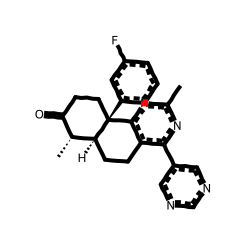 Cc1nc(-c2cncnc2)c2c(n1)[C@@]1(c3cccc(F)c3)CCC(=O)[C@@H](C)[C@@H]1CC2